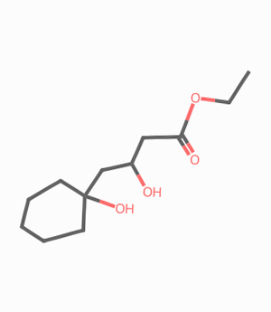 CCOC(=O)CC(O)CC1(O)CCCCC1